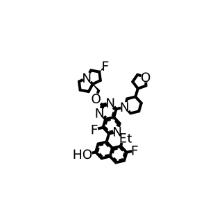 CCc1c(F)ccc2cc(O)cc(-c3ncc4c(N5CCCC(C6CCOC6)C5)nc(OC[C@@]56CCCN5C[C@H](F)C6)nc4c3F)c12